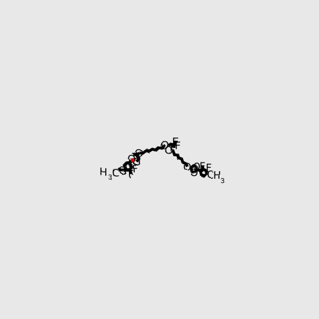 CCOc1ccc(C2OCC(OCCCCCCCOC(CC(F)(F)F)OCCCCCCCOC3COC(c4ccc(C)c(F)c4F)OC3)CO2)c(F)c1F